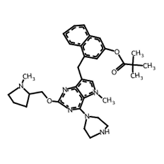 CN1CCCC1COc1nc(N2CCNCC2)c2c(n1)c(Cc1cc(OC(=O)C(C)(C)C)cc3ccccc13)cn2C